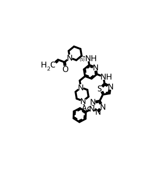 C=CC(=O)N1CCC[C@H](Nc2cc(CN3CCN(C(C)=O)CC3)cc(Nc3ncc(-c4nnn(-c5ccccc5)n4)s3)n2)C1